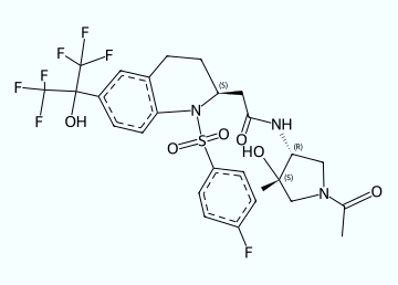 CC(=O)N1C[C@@H](NC(=O)C[C@@H]2CCc3cc(C(O)(C(F)(F)F)C(F)(F)F)ccc3N2S(=O)(=O)c2ccc(F)cc2)[C@@](C)(O)C1